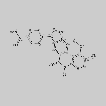 CCCOc1nc(N(CC)C(=O)c2ccn3ncc(-c4ccc(C(=O)NC)cc4)c3c2)ccc1C#N